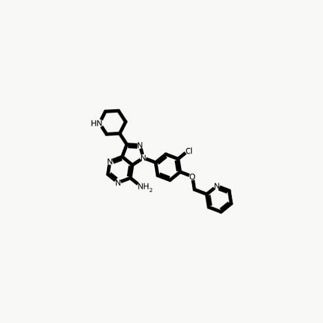 Nc1ncnc2c(C3CCCNC3)nn(-c3ccc(OCc4ccccn4)c(Cl)c3)c12